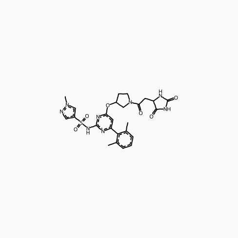 Cc1cccc(C)c1-c1cc(OC2CCN(C(=O)CC3NC(=O)NC3=O)C2)nc(NS(=O)(=O)c2cnn(C)c2)n1